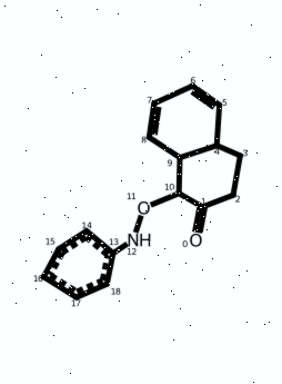 O=C1CCC2C=CC=CC2C1ONc1ccccc1